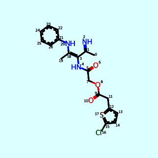 CC(=N)/C(NC(=O)COC(=O)Cc1ccc(Cl)s1)=C(/C)Nc1ccccc1